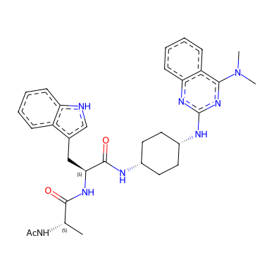 CC(=O)N[C@@H](C)C(=O)N[C@@H](Cc1c[nH]c2ccccc12)C(=O)N[C@H]1CC[C@@H](Nc2nc(N(C)C)c3ccccc3n2)CC1